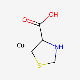 O=C(O)C1CSCN1.[Cu]